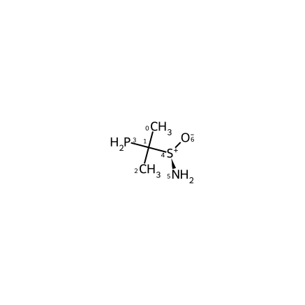 CC(C)(P)[S@+](N)[O-]